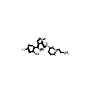 Cn1ccc2c(-c3ccc(C#N)cc3O)nnc(N[C@@H]3CCCN(CCN)C3)c21